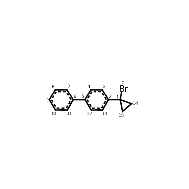 BrC1(c2ccc(-c3ccccc3)cc2)CC1